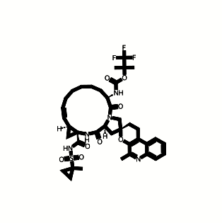 Cc1nc2ccccc2c2c1O[C@]1(CC2)C[C@H]2C(=O)N[C@]3(C(=O)NS(=O)(=O)C4(C)CC4)C[C@H]3/C=C\CCCCC[C@H](NC(=O)OC(C)(C)C(F)(F)F)C(=O)N2C1